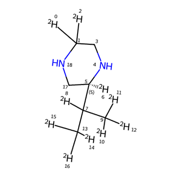 [2H]C1([2H])CN[C@@]([2H])(C([2H])(C([2H])([2H])[2H])C([2H])([2H])[2H])CN1